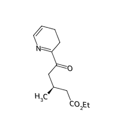 CCOC(=O)C[C@@H](C)CC(=O)C1=NC=CCC1